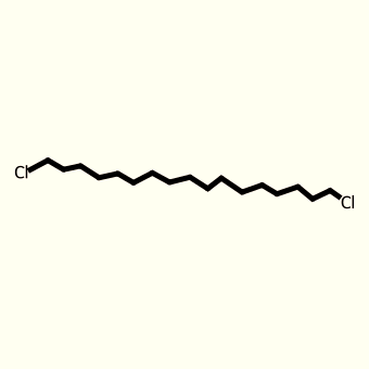 ClCCCCCCCCCCCCCCCCCCl